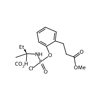 CC[C@@](C)(NP(=O)(Cl)Oc1ccccc1CCC(=O)OC)C(=O)O